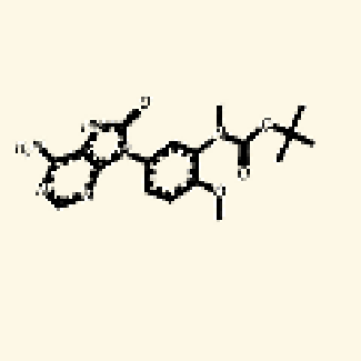 COc1ccc(-n2c(=O)[nH]c3c(N)ncnc32)cc1N(C)C(=O)OC(C)(C)C